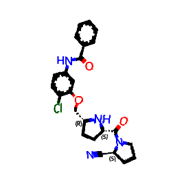 N#C[C@@H]1CCCN1C(=O)[C@@H]1CC[C@H](COc2cc(NC(=O)c3ccccc3)ccc2Cl)N1